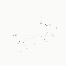 C=CC(=O)N1C[C@H](Nc2ncnc3[nH]cc([C@H]4CC4(F)F)c23)CCC1C(C)C